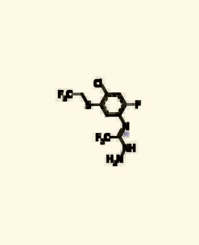 NN/C(=N/c1cc(SCC(F)(F)F)c(Cl)cc1F)C(F)(F)F